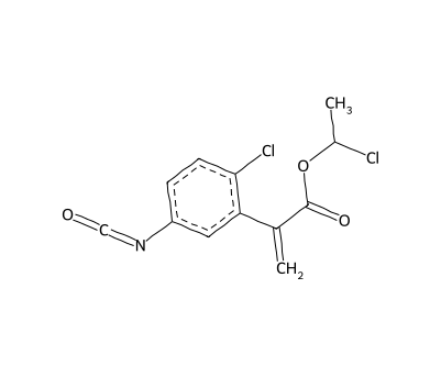 C=C(C(=O)OC(C)Cl)c1cc(N=C=O)ccc1Cl